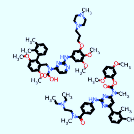 CCN(CC)CCN(C)C(=O)c1ccc(Nc2nc(-c3cccc(C)c3C)cc(N(C)C(=O)Oc3cc(OC)ccc3OC)n2)cc1.COc1ccc(OC)c(-c2cccc(C)c2C)c1CN(C(=O)O)c1ccnc(Nc2cc(OC)c(OC)c(OCCCN3CCN(C)CC3)c2)n1